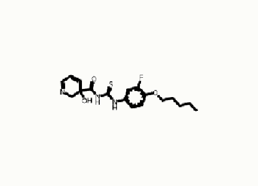 CCCCCOc1ccc(NC(=S)NC(=O)C2(O)C=CC=NC2)cc1F